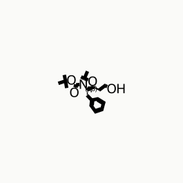 CC(C)(C)OC(=O)N1[C@@H](Cc2ccccc2)[C@H](CCO)OC1(C)C